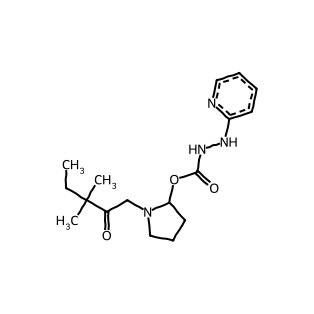 CCC(C)(C)C(=O)CN1CCCC1OC(=O)NNc1ccccn1